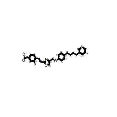 O=[N+]([O-])c1ccc(/C=C/c2nc(COc3ccc(CCCCc4cccnc4)cc3)co2)c(F)c1